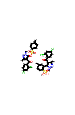 Cc1ccc(S(=O)(=O)O)c(-c2c(C(=O)c3ccc(Cl)cc3Cl)c(C)nn2C)c1.Cc1ccc(S(=O)(=O)Oc2c(C(=O)c3ccc(Cl)cc3Cl)c(C)nn2C)cc1